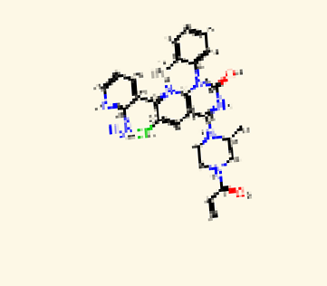 C=CC(=O)N1CCN(c2nc(=O)n(-c3ccccc3C(C)C)c3nc(-c4cccnc4N)c(Cl)cc23)[C@@H](C)C1